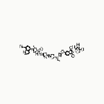 CCN(C1CCN(c2ccc(NC(=O)N3C[C@H](C)N(c4ccc(C#N)c5ncccc45)C[C@H]3C)cn2)CC1)[C@H]1C[C@H](Oc2ccc3c(c2)C(=O)N(C2CCC(=O)NC2=O)C3=O)C1